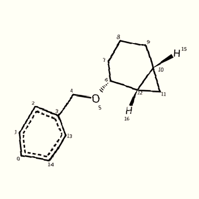 c1ccc(CO[C@@H]2CCC[C@@H]3C[C@@H]32)cc1